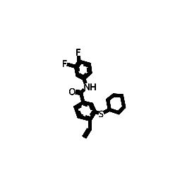 C=Cc1ccc(C(=O)Nc2ccc(F)c(F)c2)cc1SC1CCCCC1